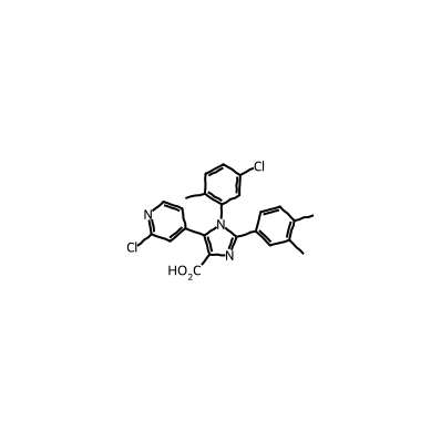 Cc1ccc(-c2nc(C(=O)O)c(-c3ccnc(Cl)c3)n2-c2cc(Cl)ccc2C)cc1C